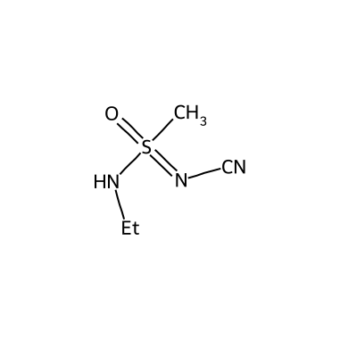 CCNS(C)(=O)=NC#N